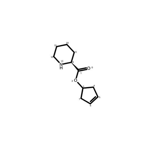 O=C(OC1CC=CC1)[C@@H]1CCCCN1